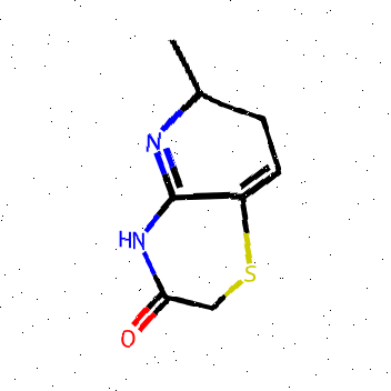 CC1CC=C2SCC(=O)NC2=N1